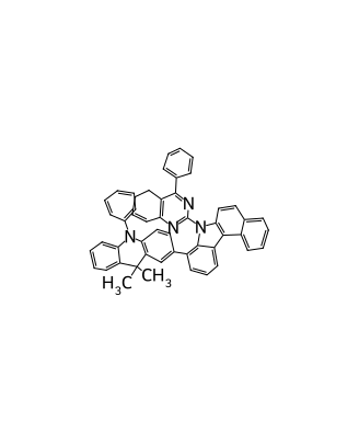 CC1(C)c2ccccc2N(c2ccccc2)c2ccc(-c3cccc4c5c6ccccc6ccc5n(-c5nc6c(c(-c7ccccc7)n5)CCC=C6)c34)cc21